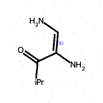 CC(C)C(=O)/C(N)=C\N